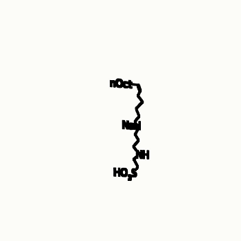 CCCCCCCC/C=C\CCCCCCCCCNCCS(=O)(=O)O.[NaH]